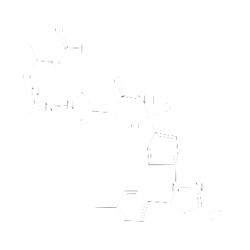 CCC(=O)OC(C)On1on1N1CC(OC(=O)NS(=O)(=O)c2ccc(-n3nc(C(F)(F)F)cc3-c3ccc(C)cc3)cc2)C1